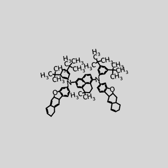 CC(C)(C)C1=CC(N(c2ccc3c(c2)OC2C=C4C=CCCC4=CC32)c2cc3c4c(c(N(c5cc(C(C)(C)C)cc(C(C)(C)C)c5)c5ccc6c(c5)OC5CC7CCC=CC7=CC65)ccc4c2)CCC3(C)C)=CC(C(C)(C)C)C1